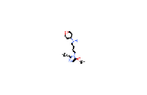 CCCCc1ncc(OC(C)C)n1CCCCNC1CCOCC1